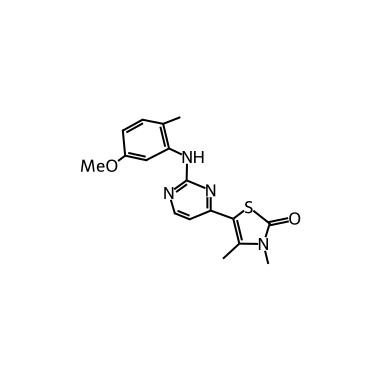 COc1ccc(C)c(Nc2nccc(-c3sc(=O)n(C)c3C)n2)c1